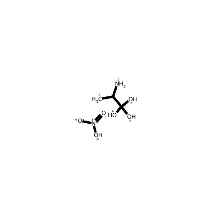 CC(N)C(O)(O)O.O=[N+]([O-])O